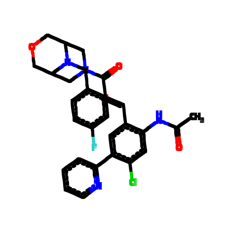 CC(=O)Nc1cc(Cl)c(-c2ccccn2)cc1C=CC(=O)N1CC2COCC(C1)N2Cc1ccc(F)cc1